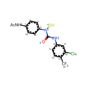 CC(=O)Nc1ccc(N(S)C(=O)Nc2ccc(C(F)(F)F)c(Cl)c2)cc1